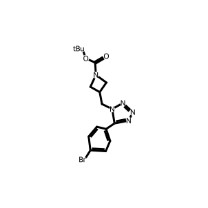 CC(C)(C)OC(=O)N1CC(Cn2nnnc2-c2ccc(Br)cc2)C1